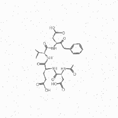 CC(=O)N[C@@H](CC(=O)O)C(=O)N[C@@H](CCC(=O)O)C(=O)N[C@H](C(=O)N[C@@H](CC(=O)O)C(=O)Cc1ccccc1)C(C)C